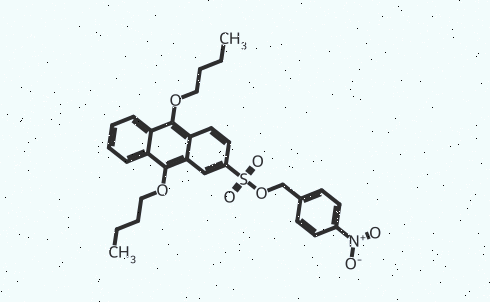 CCCCOc1c2ccccc2c(OCCCC)c2cc(S(=O)(=O)OCc3ccc([N+](=O)[O-])cc3)ccc12